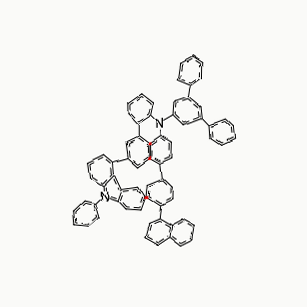 c1ccc(-c2cc(-c3ccccc3)cc(N(c3ccc(-c4ccc(-c5cccc6ccccc56)cc4)cc3)c3ccccc3-c3cccc(-c4cccc5c4c4ccccc4n5-c4ccccc4)c3)c2)cc1